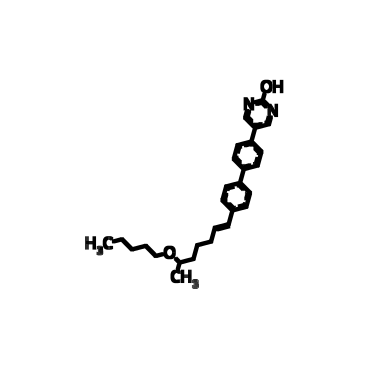 CCCCCOC(C)CCCC=Cc1ccc(-c2ccc(-c3cnc(O)nc3)cc2)cc1